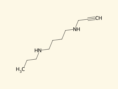 C#CCNCCCCNCCC